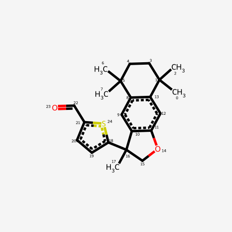 CC1(C)CCC(C)(C)c2cc3c(cc21)OCC3(C)c1c[c]c(C=O)s1